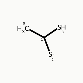 CC([S])S